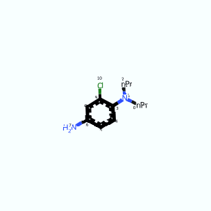 CCCN(CCC)c1ccc(N)cc1Cl